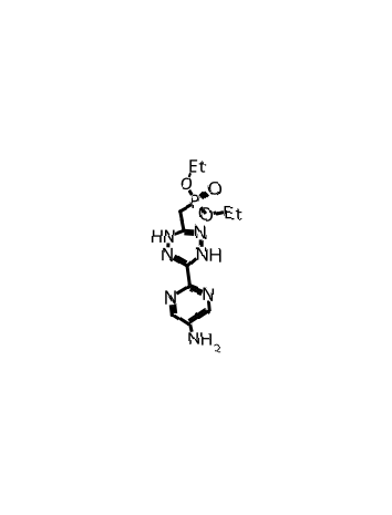 CCOP(=O)(CC1=NNC(c2ncc(N)cn2)=NN1)OCC